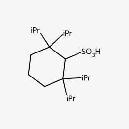 CC(C)C1(C(C)C)CCCC(C(C)C)(C(C)C)C1S(=O)(=O)O